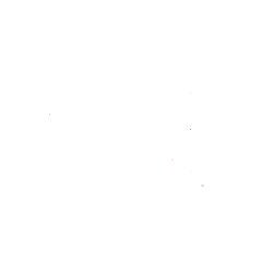 CONCCCCCCC(O)C(c1ccccc1)(c1ccccc1)c1ccccc1